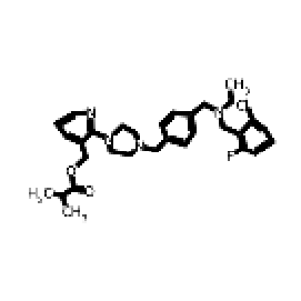 CCN(Cc1ccc(CN2CCN(c3ncccc3COC(=O)C(C)C)CC2)cc1)Cc1c(F)cccc1Cl